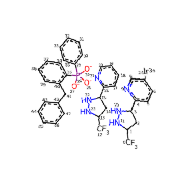 FC(F)(F)C1CC(c2ccccn2)NN1.FC(F)(F)C1CC(c2ccccn2)NN1.[Ir+3].[O-]P([O-])([O-])(c1ccccc1)c1ccccc1Cc1ccccc1